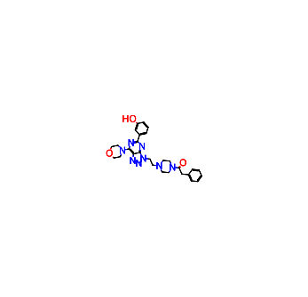 O=C(Cc1ccccc1)N1CCN(CCn2nnc3c(N4CCOCC4)nc(-c4cccc(O)c4)nc32)CC1